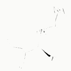 CC(Cl)[C@H](F)NCN